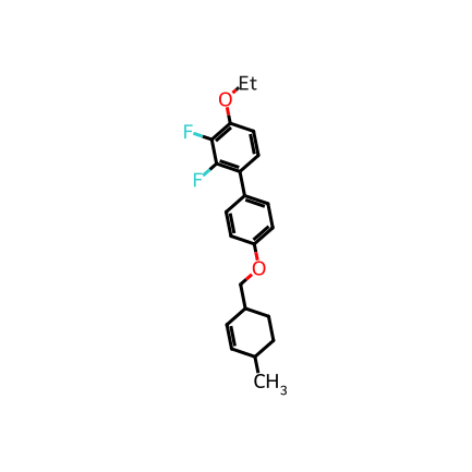 CCOc1ccc(-c2ccc(OCC3C=CC(C)CC3)cc2)c(F)c1F